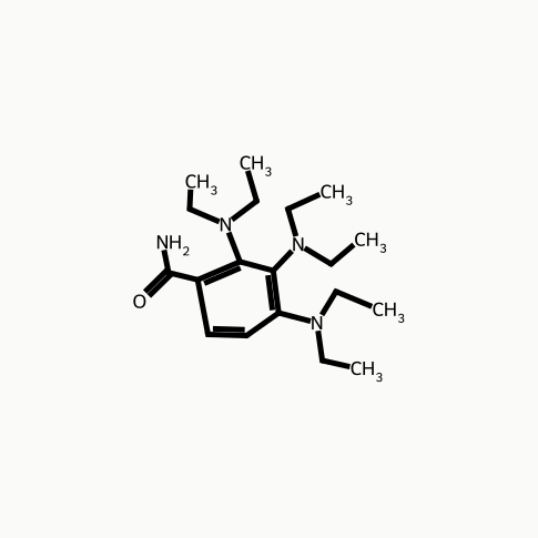 CCN(CC)c1ccc(C(N)=O)c(N(CC)CC)c1N(CC)CC